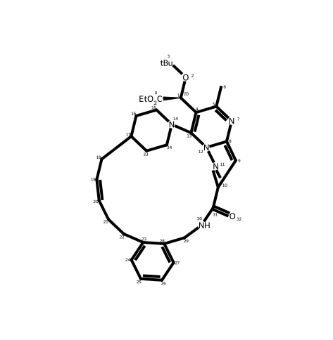 CCOC(=O)[C@@H](OC(C)(C)C)c1c(C)nc2cc3nn2c1N1CCC(CC=CCCc2ccccc2CNC3=O)CC1